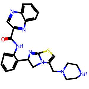 O=C(Nc1ccccc1C1CN2C(CN3CCNCC3)=CSC2=N1)c1cnc2ccccc2n1